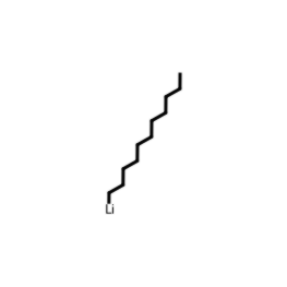 [Li][CH2]CCCCCCCCCC